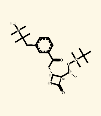 C[C@@H](O[Si](C)(C)C(C)(C)C)[C@H]1C(=O)N[C@@H]1CC(=O)c1cccc(CC(C)(C)[Si](C)(C)O)c1